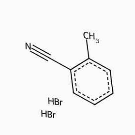 Br.Br.Cc1ccccc1C#N